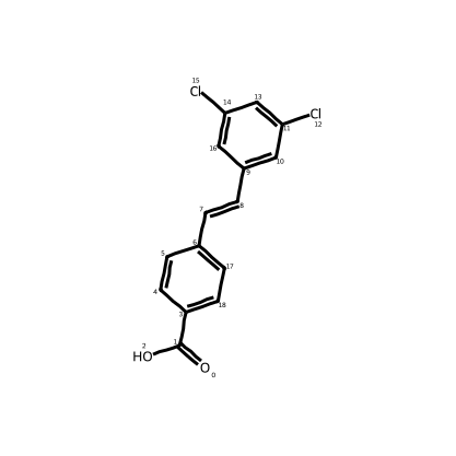 O=C(O)c1ccc(C=Cc2cc(Cl)cc(Cl)c2)cc1